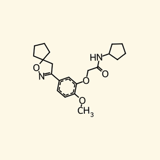 COc1ccc(C2=NOC3(CCCC3)C2)cc1OCC(=O)NC1CCCC1